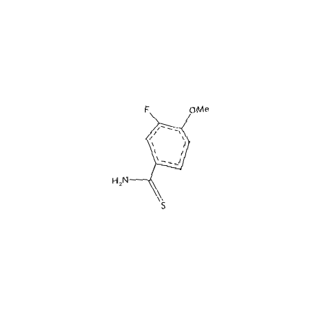 COc1ccc(C(N)=S)cc1F